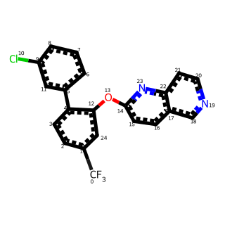 FC(F)(F)c1ccc(-c2cccc(Cl)c2)c(Oc2ccc3cnccc3n2)c1